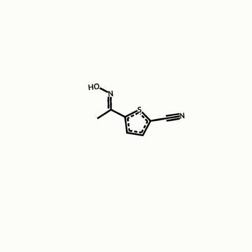 C/C(=N\O)c1ccc(C#N)s1